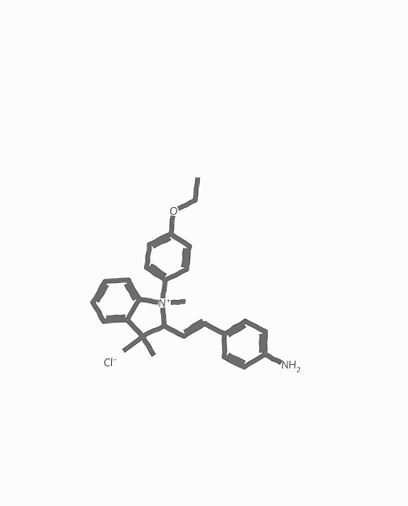 CCOc1ccc([N+]2(C)c3ccccc3C(C)(C)C2/C=C/c2ccc(N)cc2)cc1.[Cl-]